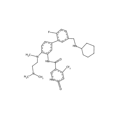 CN(C)CCN(C)c1ccc(-c2cc(CNC3CCCCC3)ccc2F)cc1NC(=O)c1c[nH]c(=O)cc1C(F)(F)F